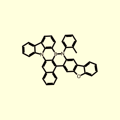 Cc1ccccc1N1B2c3c(cc4ccccc4c3-c3cc4oc5ccccc5c4cc31)-n1c3ccccc3c3cccc2c31